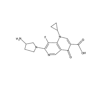 NC1CCN(c2ncc3c(=O)c(C(=O)O)cn(C4CC4)c3c2F)C1